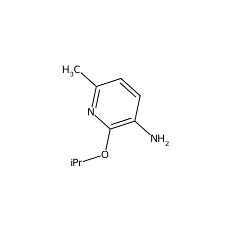 Cc1ccc(N)c(OC(C)C)n1